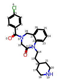 O=C(c1ccc(Cl)cc1)N1CC(=O)N(CCC2CCNCC2)c2ccccc2C1